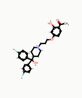 CC(=O)c1ccc(OCCCN2CCC(C(O)(c3ccc(F)cc3)c3ccc(F)cc3)CC2)cc1O